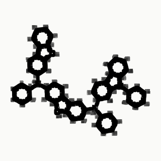 c1ccc(N(c2ccc3c(c2)oc2ccccc23)c2ccc3c(c2)oc2ccc(N(c4ccccc4)c4ccc5c6ccccc6n(-c6ccccc6)c5c4)cc23)cc1